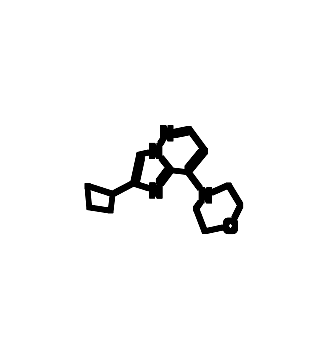 c1cc(N2CCOCC2)c2nc(C3CCC3)cn2n1